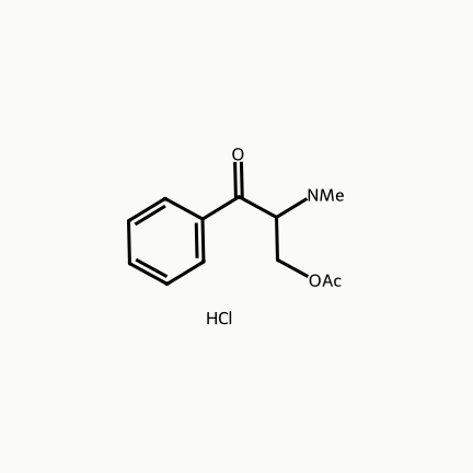 CNC(COC(C)=O)C(=O)c1ccccc1.Cl